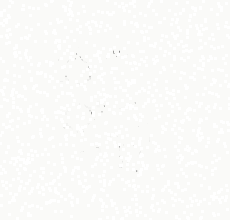 COc1cc(-c2ccc3c(c2NC2=NCC(C(=O)O)(c4ccon4)O2)CCC3)ccn1